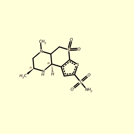 C[C@H]1CN(C)C2CS(=O)(=O)c3sc(S(N)(=O)=O)cc3[C@H]2N1